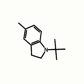 Cc1ccc2c(c1)CCN2C(C)(C)C